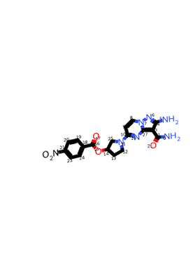 NC(=O)c1c(N)nn2ccc(N3CCC(OC(=O)c4ccc([N+](=O)[O-])cc4)C3)nc12